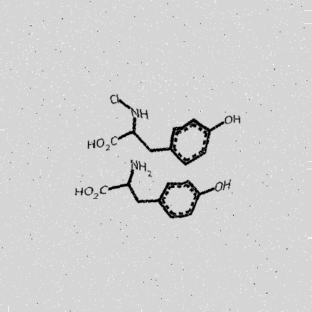 NC(Cc1ccc(O)cc1)C(=O)O.O=C(O)C(Cc1ccc(O)cc1)NCl